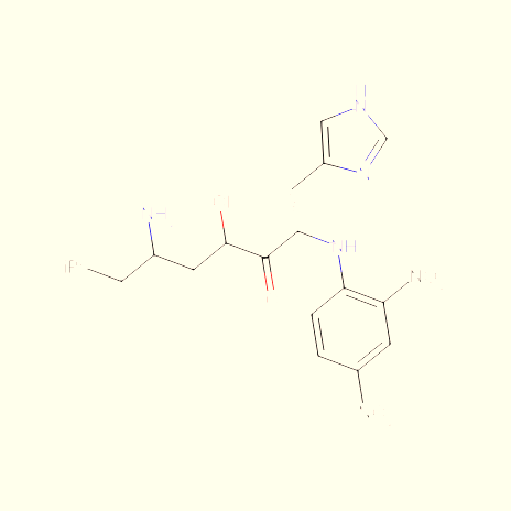 CC(C)CC(N)CC(O)C(=O)[C@H](Cc1c[nH]cn1)Nc1ccc([N+](=O)[O-])cc1[N+](=O)[O-]